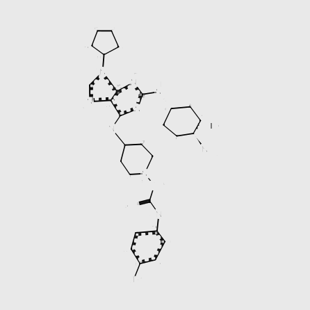 Cl.Cl.N[C@H]1CC[C@H](Nc2nc(NC3CCN(OC(=O)Nc4ccc(Cl)cc4)CC3)c3ncn(C4CCCC4)c3n2)CC1